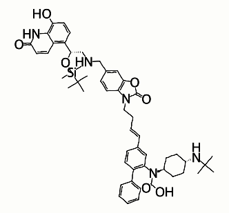 CC(C)(C)N[C@H]1CC[C@H](N(C(=O)O)c2cc(C=CCCn3c(=O)oc4cc(CNC[C@H](O[Si](C)(C)C(C)(C)C)c5ccc(O)c6[nH]c(=O)ccc56)ccc43)ccc2-c2ccccc2)CC1